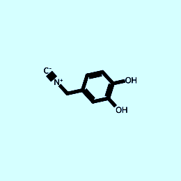 [C-]#[N+]Cc1ccc(O)c(O)c1